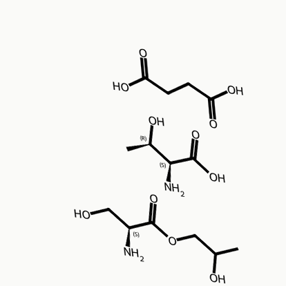 CC(O)COC(=O)[C@@H](N)CO.C[C@@H](O)[C@H](N)C(=O)O.O=C(O)CCC(=O)O